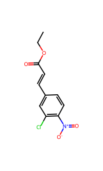 CCOC(=O)C=Cc1ccc([N+](=O)[O-])c(Cl)c1